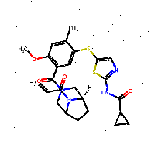 C=CC(=O)N1C2CC[C@@H]1CN(C(=O)c1cc(Sc3cnc(NC(=O)C4CC4)s3)c(C)cc1OC)C2